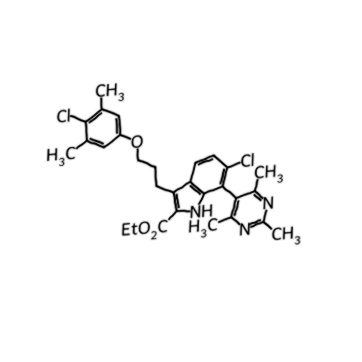 CCOC(=O)c1[nH]c2c(-c3c(C)nc(C)nc3C)c(Cl)ccc2c1CCCOc1cc(C)c(Cl)c(C)c1